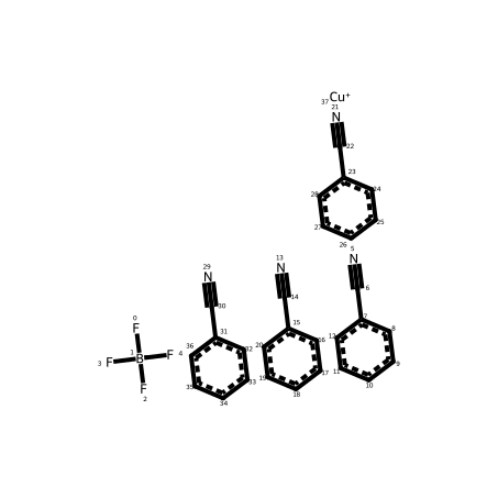 F[B-](F)(F)F.N#Cc1ccccc1.N#Cc1ccccc1.N#Cc1ccccc1.N#Cc1ccccc1.[Cu+]